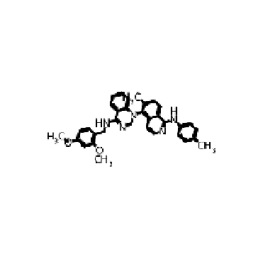 COc1ccc(CNC2=NCN(c3c(C)ccc4c(Nc5ccc(C)cc5)nccc34)c3ccccc32)c(OC)c1